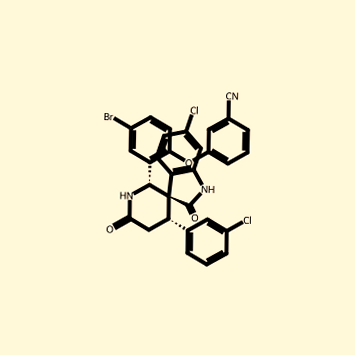 N#Cc1cccc(Oc2ccc(Br)cc2[C@H]2NC(=O)C[C@@H](c3cccc(Cl)c3)[C@]23C(=O)Nc2cc(Cl)ccc23)c1